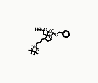 COC(=O)C1(CCO)C(CCCB2OC(C)(C)C(C)(C)O2)CCN1C(=O)OCc1ccccc1